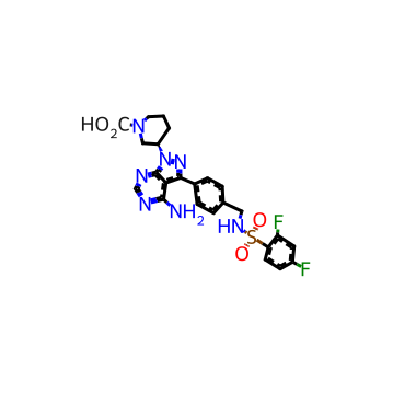 Nc1ncnc2c1c(-c1ccc(CNS(=O)(=O)c3ccc(F)cc3F)cc1)nn2[C@@H]1CCCN(C(=O)O)C1